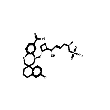 C[C@H](C/C=C/[C@H](O)[C@@H]1CC[C@H]1CN1CC2(CCCc3cc(Cl)ccc32)COc2ccc(C(=O)O)cc21)CS(N)(=O)=O